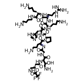 N=C(N)NCC/C=C(\NC(=O)[C@H](CCCCN)NC(=O)[C@H](Cc1cnc[nH]1)NC(=O)[C@@H]1CCCN1C(=O)/C(CCCN)=N/C(=O)CNC(=O)[C@@H](NC(=O)C[C@H](CN)OC(=O)C(F)(F)F)[C@@H](O)CN)C(=O)N[C@@H](CCCCN)C(=O)NCCCCN